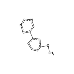 COc1cccc(-c2cn[c]nc2)c1